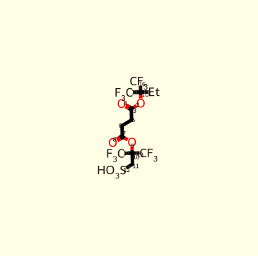 CCC(OC(=O)CCC(=O)OC(CS(=O)(=O)O)(C(F)(F)F)C(F)(F)F)(C(F)(F)F)C(F)(F)F